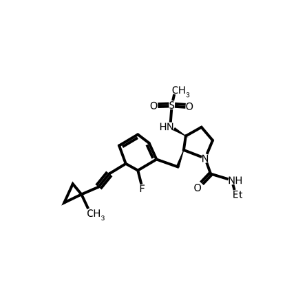 CCNC(=O)N1CC[C@H](NS(C)(=O)=O)[C@@H]1CC1=CC=CC(C#CC2(C)CC2)C1F